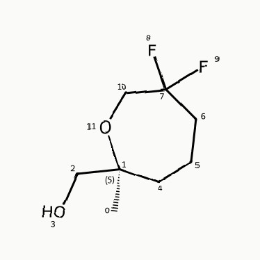 C[C@@]1(CO)CCCC(F)(F)CO1